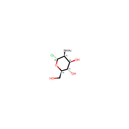 CC(=O)N[C@H]1[C@@H](O)[C@H](O)[C@@H](CO)O[C@@H]1Cl